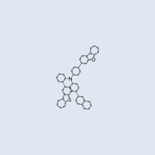 c1ccc(N(c2ccc(-c3ccc4ccccc4c3)cc2)c2ccc(-c3ccc4c(c3)oc3ccccc34)cc2)c(-c2ccc3sc4ccccc4c3c2)c1